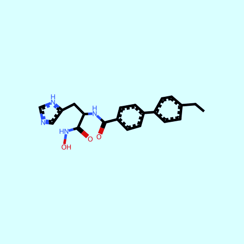 CCc1ccc(-c2ccc(C(=O)NC(Cc3cnc[nH]3)C(=O)NO)cc2)cc1